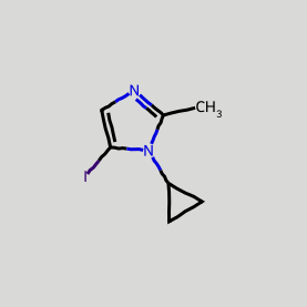 Cc1ncc(I)n1C1CC1